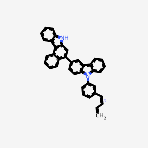 C=C/C=C\c1cccc(-n2c3ccccc3c3cc(-c4cc5[nH]c6ccccc6c5c5ccccc45)ccc32)c1